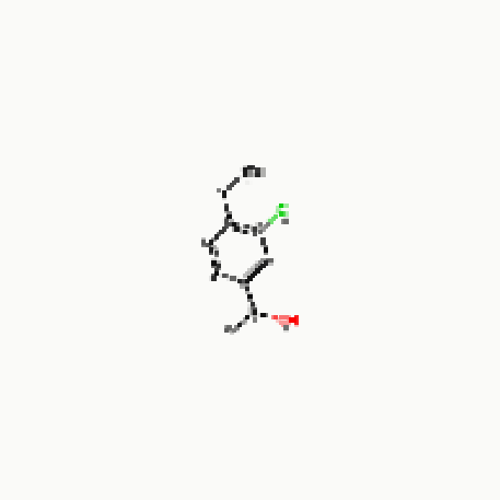 CB(O)c1ccc(CC(C)(C)C)c(Cl)c1